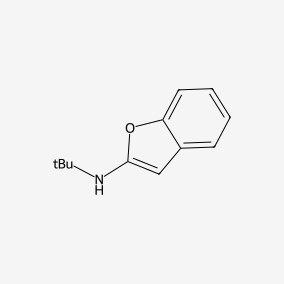 CC(C)(C)Nc1cc2ccccc2o1